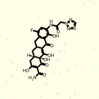 NC(=O)C1=C(O)C[C@@H]2CC3Cc4c(F)cc(NC(=O)Cn5ncnn5)c(O)c4C(=O)C3=C(O)[C@]2(O)C1=O